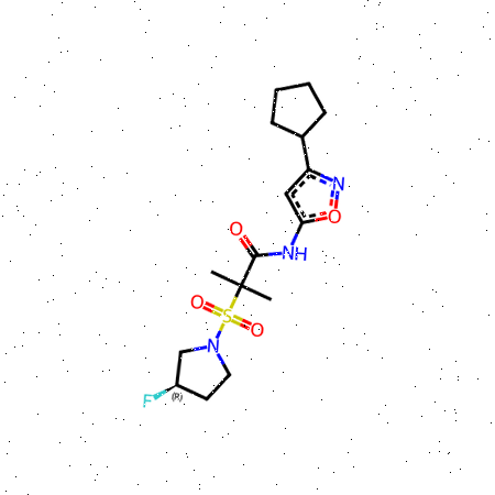 CC(C)(C(=O)Nc1cc(C2CCCC2)no1)S(=O)(=O)N1CC[C@@H](F)C1